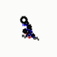 CN1CCC(n2c(=O)n(C)c(=O)c3c(Nc4ccccc4)n(Cc4ccc(C5CCC6(CCCCCCCCCC6)CN5)cc4)nc32)C1